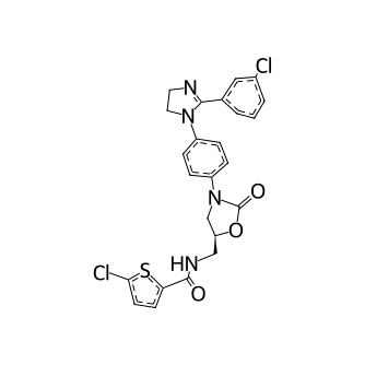 O=C(NC[C@H]1CN(c2ccc(N3CCN=C3c3cccc(Cl)c3)cc2)C(=O)O1)c1ccc(Cl)s1